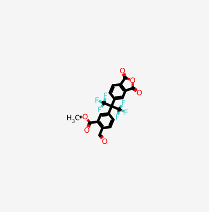 COC(=O)c1cc(C(c2ccc3c(c2)C(=O)OC3=O)(C(F)(F)F)C(F)(F)F)ccc1C=O